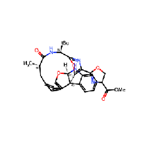 COC(=O)C1COC(c2nc3oc2[C@@]24c5ccccc5N[C@@H]2Oc2ccc(cc24)C[C@H](C)C(=O)N[C@H]3C(C)(C)C)=N1